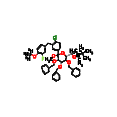 [2H]C([2H])([2H])Oc1ccc(Cc2cc([C@]3(OC)O[C@H](CO[Si](C)(C)C(C)(C)C)[C@@H](OCc4ccccc4)[C@H](OCc4ccccc4)[C@H]3OCc3ccccc3)ccc2Cl)cc1F